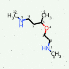 CNCCOC(C)CCNC